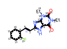 CCn1c(=O)c2[nH]c(/C=C/c3ccccc3F)nc2n(CC)c1=O